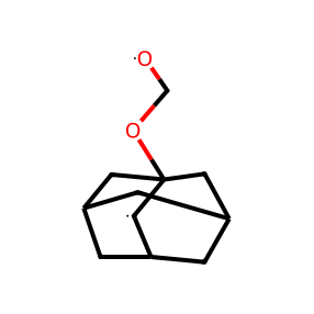 [O]COC12[CH]C3CC(CC(C3)C1)C2